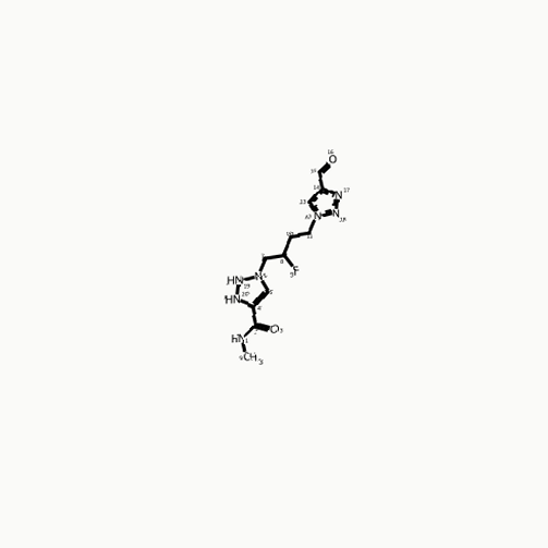 CNC(=O)C1=CN(CC(F)CCn2cc(C=O)nn2)NN1